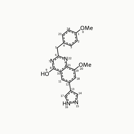 COc1ccc(Cc2nc(O)c3cc(-c4cn[nH]c4)cc(OC)c3n2)cc1